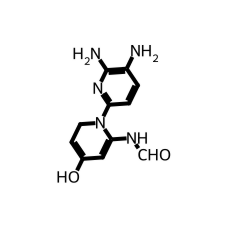 Nc1ccc(N2CC=C(O)C=C2NC=O)nc1N